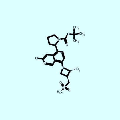 C[C@@H]1[C@@H](CS(C)(=O)=O)CN1c1ccc(C2CCCN2C(=O)OC(C)(C)C)c2cc(Cl)ncc12